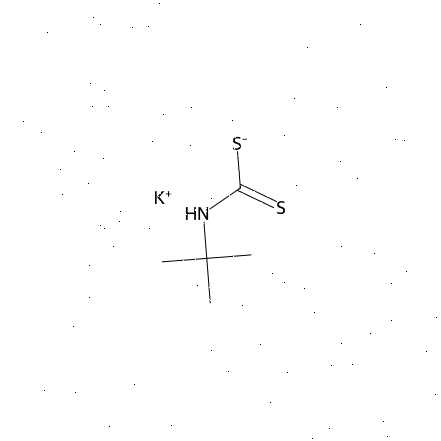 CC(C)(C)NC(=S)[S-].[K+]